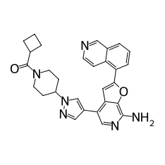 Nc1ncc(-c2cnn(C3CCN(C(=O)C4CCC4)CC3)c2)c2cc(-c3cccc4cnccc34)oc12